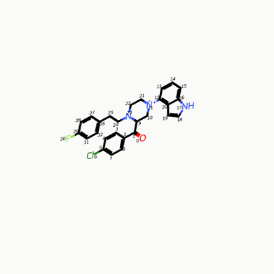 O=C(c1ccc(Cl)cc1)C1C[N+](c2cccc3[nH]ccc23)CCN1CCc1ccc(F)cc1